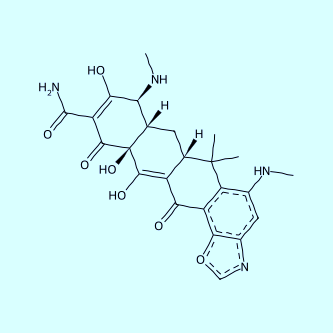 CNc1cc2ncoc2c2c1C(C)(C)[C@H]1C[C@H]3[C@H](NC)C(O)=C(C(N)=O)C(=O)[C@@]3(O)C(O)=C1C2=O